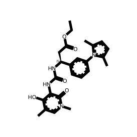 CCOC(=O)C[C@H](NC(=O)Nc1c(O)c(C)cn(C)c1=O)c1cccc(-n2c(C)ccc2C)c1